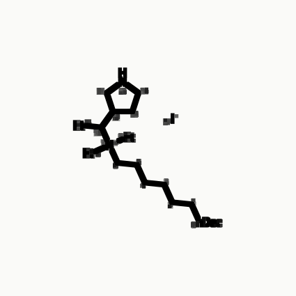 CCCCCCCCCCCCCCCC[N+](CC)(CC)C(CC)C1CCNC1.[I-]